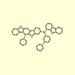 c1ccc(-c2cccc(N(c3ccc4c(c3)oc3c(-c5ccccc5)c5c(cc34)oc3ccccc35)c3cccc4c3oc3ccccc34)c2)cc1